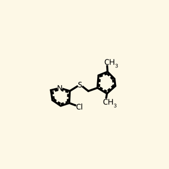 Cc1ccc(C)c(CSc2ncccc2Cl)c1